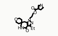 CCc1nn(CCCOC(=O)C2=CN=CC2)c2c1C(=O)NCC1(CCOCC1)C2